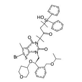 Cc1c(Br)sc2c1c(=O)n(C(C)(C)C(=O)CC(C)(C)[Si](O)(c1ccccc1)c1ccccc1)c(=O)n2C[C@H](OC1CCOCC1)c1ccccc1COC(C)C